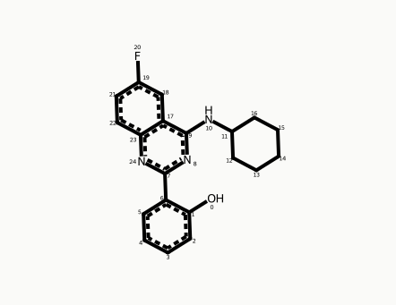 Oc1ccccc1-c1nc(NC2CCCCC2)c2cc(F)ccc2n1